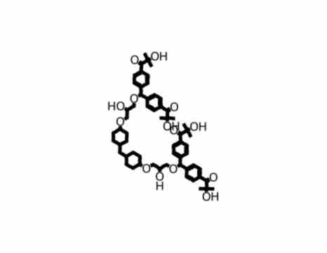 CC(C)(O)C(=O)c1ccc(C(OCC(O)COC2CCC(CC3CCC(OCC(O)COC(c4ccc(C(=O)C(C)(C)O)cc4)c4ccc(C(=O)C(C)(C)O)cc4)CC3)CC2)c2ccc(C(=O)C(C)(C)O)cc2)cc1